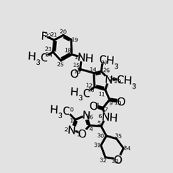 Cc1noc(C(NC(=O)C(=O)c2c(C)c(C(=O)Nc3ccc(F)c(C)c3)c(C)n2C)C2CCOCC2)n1